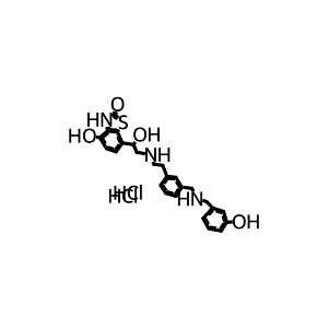 Cl.Cl.O=c1[nH]c2c(O)ccc(C(O)CNCCc3cccc(CNCc4cccc(O)c4)c3)c2s1